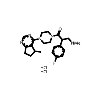 CNCC(C(=O)N1CCN(c2ncnc3c2C(C)CC3)CC1)c1ccc(F)cc1.Cl.Cl